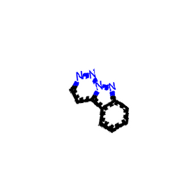 c1ccc2c(c1)nn1nnccc21